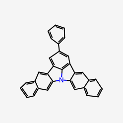 c1ccc(-c2cc3c4cc5ccccc5cc4n4c5cc6ccccc6cc5c(c2)c34)cc1